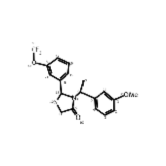 COc1cccc(C(C)N2C(=O)CSC2c2cccc(OC(F)(F)F)c2)c1